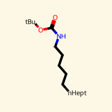 CCCCCCCCCCC[CH]NC(=O)OC(C)(C)C